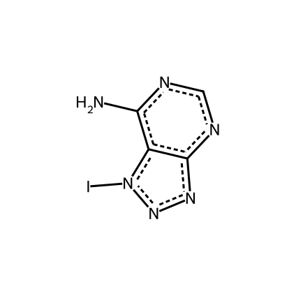 Nc1ncnc2nnn(I)c12